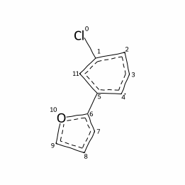 Clc1cc[c]c(-c2ccco2)c1